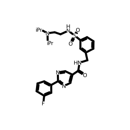 CC(C)N(CCNS(=O)(=O)c1cccc(CNC(=O)c2cnc(-c3cccc(F)c3)nc2)c1)C(C)C